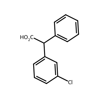 O=C(O)C(c1ccccc1)c1cccc(Cl)c1